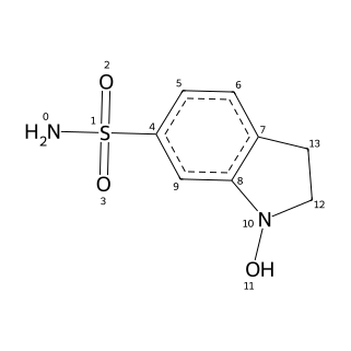 NS(=O)(=O)c1ccc2c(c1)N(O)CC2